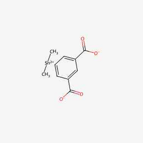 O=C([O-])c1cccc(C(=O)[O-])c1.[CH3][Sn+2][CH3]